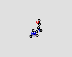 c1ccc(-c2nc(-c3ccccc3)nc(-c3ccccc3-c3cccc(-n4c5ccccc5c5cc(-c6ccc7c(c6)oc6ccccc67)ccc54)c3)n2)cc1